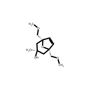 COC[C@@]12C=C[C@@](COC)(C[C@@](C)(O)C1)O2